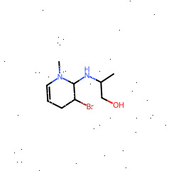 CC(CO)NC1C(Br)CC=CN1C